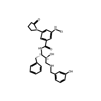 CCNc1cc(C(=O)N[C@@H](Cc2ccccc2)[C@@H](O)CNCc2cccc(O)c2)cc(N2CCCC2=O)c1